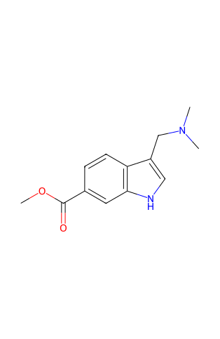 COC(=O)c1ccc2c(CN(C)C)c[nH]c2c1